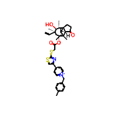 C=C[C@]1(C)C[C@@H](OC(=O)CSc2nc(-c3cc[n+](Cc4ccc(C)cc4)cc3)cs2)[C@]2(C)[C@H](C)CC[C@]3(CCC(=O)[C@H]32)[C@@H](C)[C@@H]1O